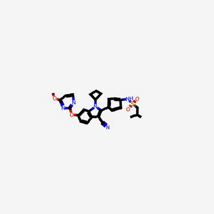 COc1ccnc(Oc2ccc3c(C#N)c(-c4ccc(NS(=O)(=O)CC(C)C)cc4)n(C4CCC4)c3c2)n1